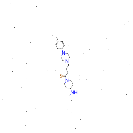 CNC1CCN(C(=S)CCCN2CCN(c3ccc(C)cc3)CC2)CC1